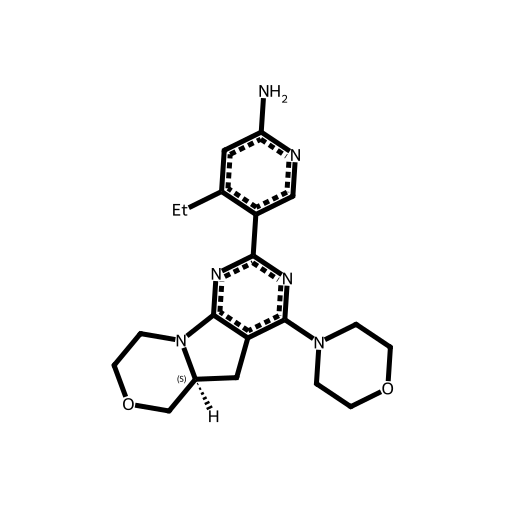 CCc1cc(N)ncc1-c1nc(N2CCOCC2)c2c(n1)N1CCOC[C@@H]1C2